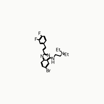 CCN(CC)CCNc1nc(C=Cc2ccc(F)c(F)c2)nc2ccc(Br)cc12